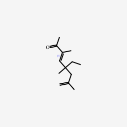 C=C(C)CC(C)(/C=C(\C)C(C)=O)CC